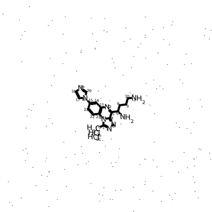 Cc1nnc2c(C(N)CCCN)nc3cc(-n4ccnc4)ccc3n12.Cl.Cl